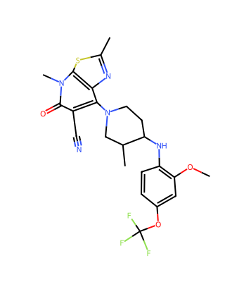 COc1cc(OC(F)(F)F)ccc1NC1CCN(c2c(C#N)c(=O)n(C)c3sc(C)nc23)CC1C